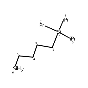 CC(C)[Si](CCCC[SiH2])(C(C)C)C(C)C